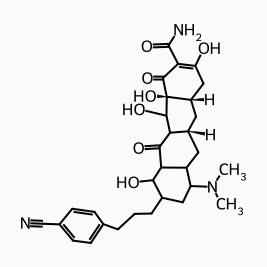 CN(C)C1CC(CCCc2ccc(C#N)cc2)C(O)C2C(=O)C3C(O)[C@]4(O)C(=O)C(C(N)=O)=C(O)C[C@@H]4C[C@@H]3CC21